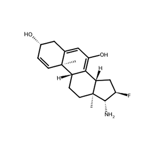 C[C@]12CC[C@H]3C(=C(O)C=C4C[C@@H](O)C=C[C@@]43C)[C@@H]1C[C@@H](F)[C@@H]2N